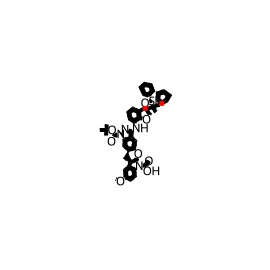 COc1ccc2c(c1)[C@]1(C[C@H]1c1ccc3c(Nc4cccc5c4OCC5O[Si](c4ccccc4)(c4ccccc4)C(C)(C)C)nn(C(=O)OC(C)(C)C)c3c1)C(=O)N2C(=O)O